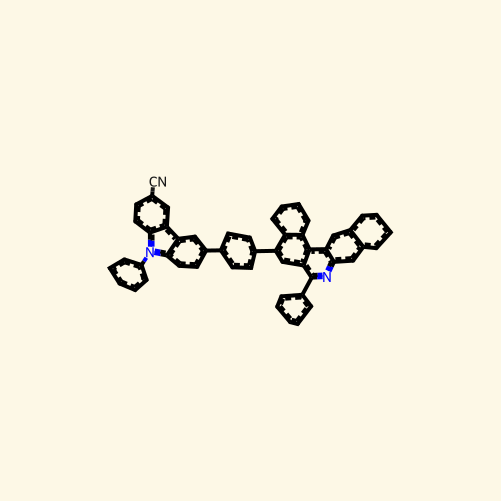 N#Cc1ccc2c(c1)c1cc(-c3ccc(-c4cc5c(-c6ccccc6)nc6cc7ccccc7cc6c5c5ccccc45)cc3)ccc1n2-c1ccccc1